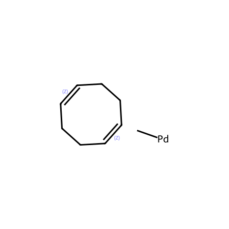 C1=C\CC/C=C\CC/1.[CH3][Pd]